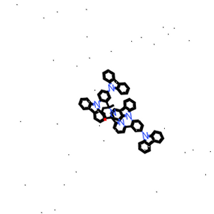 CC1(c2cc(-n3c4ccccc4c4ccccc43)ccc2-n2c3ccccc3c3ccccc32)CC=CC(c2cccc(-c3cc(-n4c5ccccc5c5ccccc54)ccc3-n3c4ccccc4c4ccccc43)n2)=N1